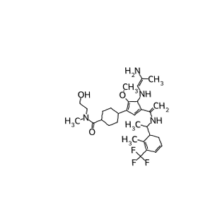 C=C(NC(C)C1CC=CC(C(F)(F)F)=C1C)C1=CC(C2CCC(C(=O)N(C)CCO)CC2)=C(OC)C1N/C=C(\C)N